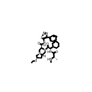 CCO[C@@H]1C[C@@H]2CN(C(=O)[C@@H](NC(=O)[C@H](C)NC)C3CCCCC3)[C@H](C(=O)Nc3snnc3-c3ccccc3)CN2C1